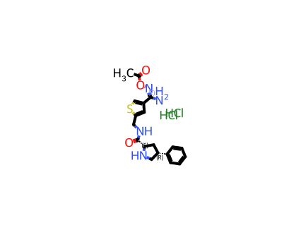 CC(=O)O/N=C(/N)c1csc(CNC(=O)[C@@H]2C[C@H](c3ccccc3)CN2)c1.Cl.Cl